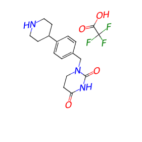 O=C(O)C(F)(F)F.O=C1CCN(Cc2ccc(C3CCNCC3)cc2)C(=O)N1